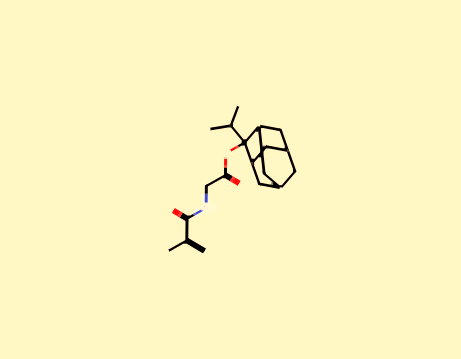 C=C(C)C(=O)NCC(=O)OC1(C(C)C)C2CC3CC(C2)CC1C3